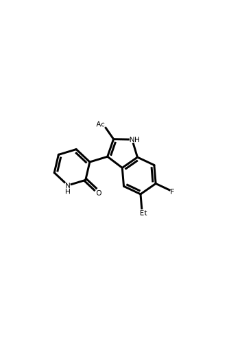 CCc1cc2c(-c3ccc[nH]c3=O)c(C(C)=O)[nH]c2cc1F